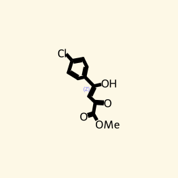 COC(=O)C(=O)/C=C(\O)c1ccc(Cl)cc1